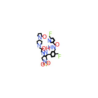 CS(=O)(=O)N1CCc2c(c(-c3ccc(CF)c(CNC(=O)c4ccc(CF)nc4)c3)nn2CC(O)CN2CCC(N3CCCC3=O)CC2)C1